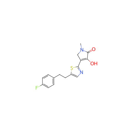 CN1CC(c2ncc(CCc3ccc(F)cc3)s2)=C(O)C1=O